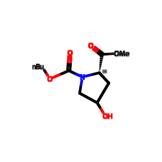 CCCCOC(=O)N1CC(O)C[C@H]1C(=O)OC